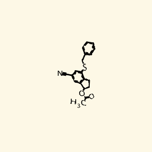 CC(=O)OC1CCc2c(SCc3ccccc3)cc(C#N)cc21